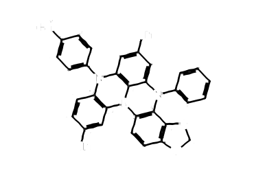 CC(C)c1cc2c3c(c1)N(c1ccccc1)c1c(ccc4c1OCO4)B3c1cc(C(C)(C)C)ccc1N2c1ccc(C(C)(C)C)cc1